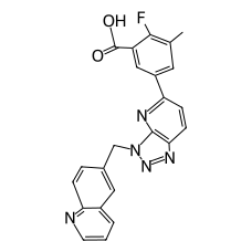 Cc1cc(-c2ccc3nnn(Cc4ccc5ncccc5c4)c3n2)cc(C(=O)O)c1F